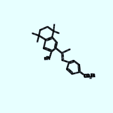 CCCc1cc2c(cc1C(C)=Cc1ccc(C(=O)OCC)cc1)C(C)(C)CCC2(C)C